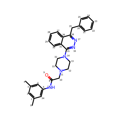 Cc1cc(C)cc(NC(=O)CN2CCN(c3nnc(Cc4ccccc4)c4ccccc34)CC2)c1